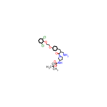 CC(C)(C)OC(=O)NC1CCN(C(=O)C(CN)Cc2ccc(OCCOc3c(Cl)cccc3Cl)cc2)C1